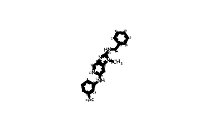 CC(=O)c1cccc(Nc2cc3c(cn2)nc(NCc2ccccc2)n3C)c1